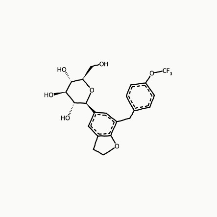 OC[C@H]1O[C@@H](c2cc3c(c(Cc4ccc(OC(F)(F)F)cc4)c2)OCC3)[C@H](O)[C@@H](O)[C@@H]1O